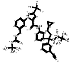 CC(C)(C)OC(=O)NCc1cccc(-n2nc(C(F)(F)F)cc2C(=O)Nc2cccc(C(CCC3CC3)(N[S@+]([O-])C(C)(C)C)c3cccc(C#N)c3)c2)c1